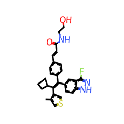 Cc1cscc1C(=C(c1ccc(C=CC(=O)NCCO)cc1)c1ccc2[nH]nc(F)c2c1)C1CCC1